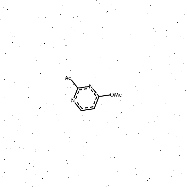 COc1ccnc(C(C)=O)n1